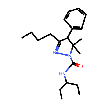 CCCCC1=NN(C(=O)NC(CC)CC)C(C)(C)C1c1ccccc1